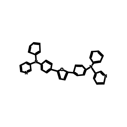 c1ccc(N(c2ccc(-c3ccc(-c4ccc(N(c5ccccc5)c5cccnc5)cc4)o3)cc2)c2cccnc2)cc1